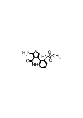 CS(=O)(=O)Nc1ccccc1-c1csc(N)c1C(N)=O